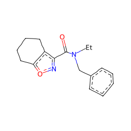 CCN(Cc1ccccc1)C(=O)c1noc2c1CCCC2